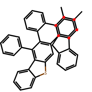 Cc1cc2c(c(-c3ccccc3-c3c(-c4ccccc4)cc4sc5ccccc5c4c3-c3ccccc3)c1C)Cc1ccccc1-2